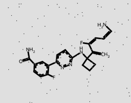 C=C(/C(F)=C\C=C/N)C1(Nc2ccc(-c3cc(C(N)=O)ccc3F)nn2)CCC1